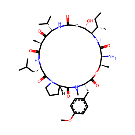 CC[C@H](C)[C@H]1NC(=O)[C@@H](N)[C@@H](C)OC(=O)[C@H](Cc2ccc(OC)cc2)N(C)C(=O)[C@@H]2CCCN2C(=O)[C@H](CC(C)C)NC(=O)[C@@H](C)C(=O)[C@H](C(C)C)NC(=O)C[C@@H]1O